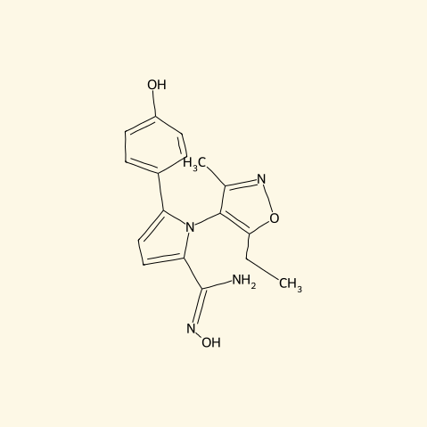 CCc1onc(C)c1-n1c(/C(N)=N/O)ccc1-c1ccc(O)cc1